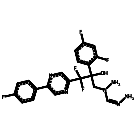 N/N=C\N(N)CC(O)(c1ccc(F)cc1F)C(F)(F)c1cnc(-c2ccc(F)cc2)cn1